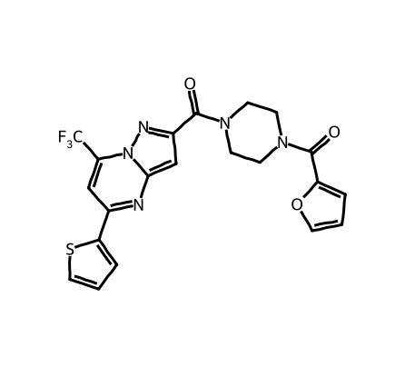 O=C(c1cc2nc(-c3cccs3)cc(C(F)(F)F)n2n1)N1CCN(C(=O)c2ccco2)CC1